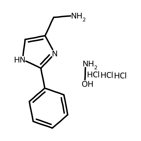 Cl.Cl.Cl.NCc1c[nH]c(-c2ccccc2)n1.NO